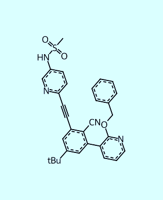 CC(C)(C)c1cc(C#Cc2ccc(NS(C)(=O)=O)cn2)c(C#N)c(-c2cccnc2OCc2ccccc2)c1